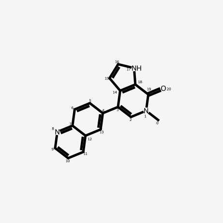 Cn1cc(-c2ccc3ncccc3c2)c2cc[nH]c2c1=O